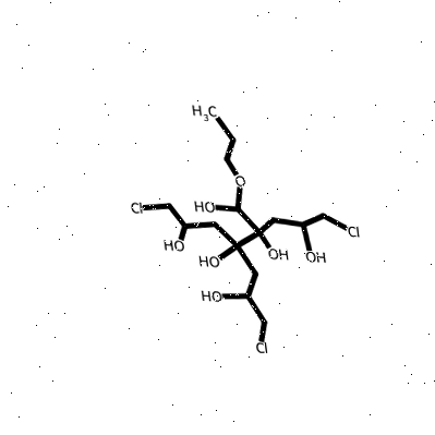 CCCOC(O)C(O)(CC(O)CCl)C(O)(CC(O)CCl)CC(O)CCl